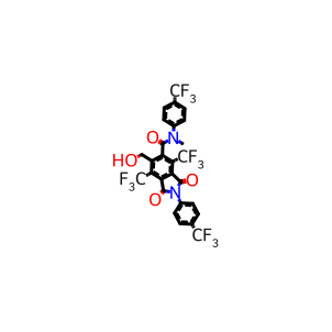 CN(C(=O)c1c(CO)c(C(F)(F)F)c2c(c1C(F)(F)F)C(=O)N(c1ccc(C(F)(F)F)cc1)C2=O)c1ccc(C(F)(F)F)cc1